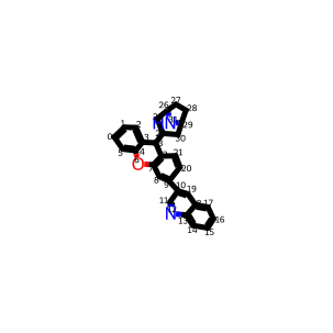 c1ccc2c(c1)Oc1cc(-c3cnc4ccccc4c3)ccc1C2C1CC2CCC(C1)N2